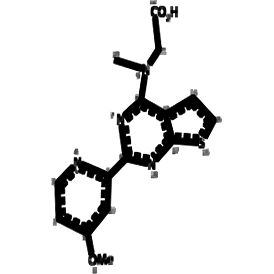 COc1ccnc(-c2nc(N(C)CC(=O)O)c3ccsc3n2)c1